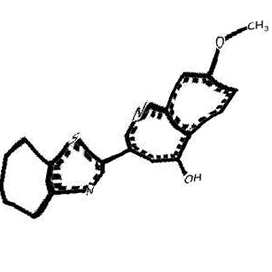 COc1ccc2c(O)cc(-c3nc4c(s3)CCCC4)nc2c1